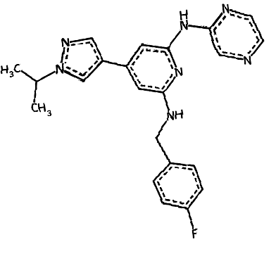 CC(C)n1cc(-c2cc(NCc3ccc(F)cc3)nc(Nc3cnccn3)c2)cn1